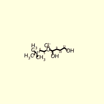 C[N+](C)(C)CCOC(O)CCCO.[Cl-]